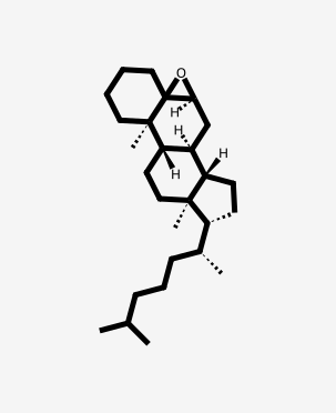 CC(C)CCC[C@@H](C)[C@H]1CC[C@H]2[C@@H]3C[C@@H]4OC45CCCC[C@]5(C)[C@H]3CC[C@]12C